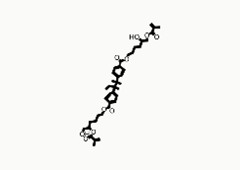 C=C(C)C(=O)OCC(O)CCCCOC(=O)c1ccc(C(C)(C)C(C)(CC)c2ccc(C(=O)OCCCCC(CO)OC(=O)C(=C)C)cc2)cc1